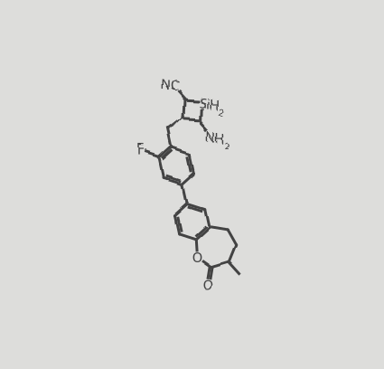 CC1CCc2cc(-c3ccc(C[C@@H]4C(N)[SiH2]C4C#N)c(F)c3)ccc2OC1=O